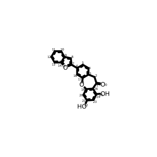 O=C1Cc2ccc(-c3cc4ccccc4o3)cc2Oc2cc(O)cc(O)c21